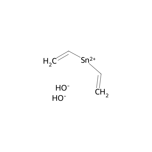 C=[CH][Sn+2][CH]=C.[OH-].[OH-]